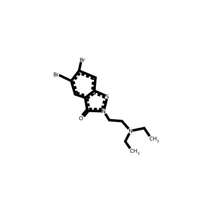 CCN(CC)CCn1sc2cc(Br)c(Br)cc2c1=O